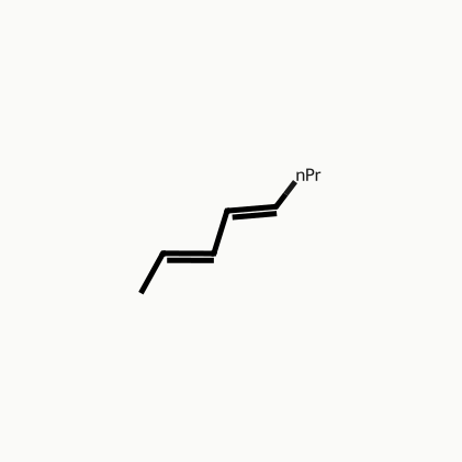 CC=CC=CCCC